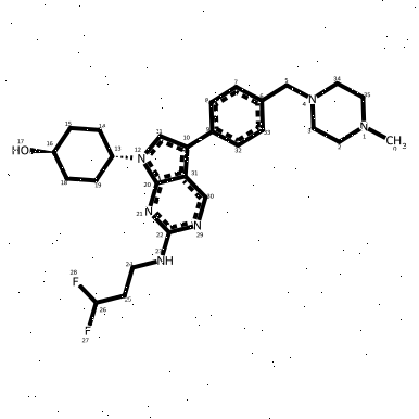 CN1CCN(Cc2ccc(-c3cn([C@H]4CC[C@H](O)CC4)c4nc(NCCC(F)F)ncc34)cc2)CC1